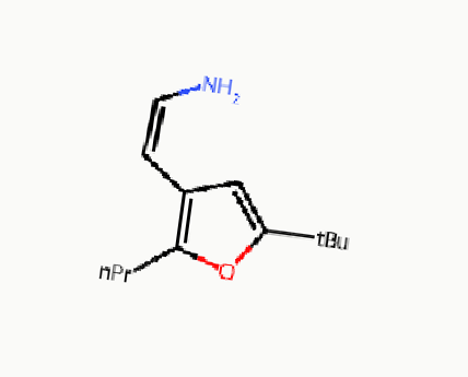 CCCc1oc(C(C)(C)C)cc1/C=C\N